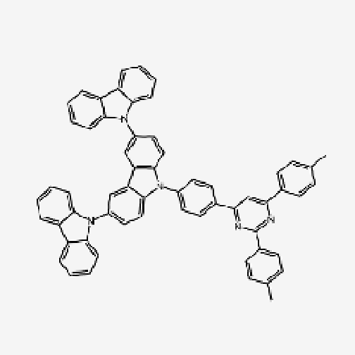 Cc1ccc(-c2cc(-c3ccc(-n4c5ccc(-n6c7ccccc7c7ccccc76)cc5c5cc(-n6c7ccccc7c7ccccc76)ccc54)cc3)nc(-c3ccc(C)cc3)n2)cc1